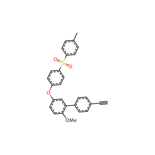 C#Cc1ccc(-c2cc(Oc3ccc(S(=O)(=O)c4ccc(C)cc4)cc3)ccc2OC)cc1